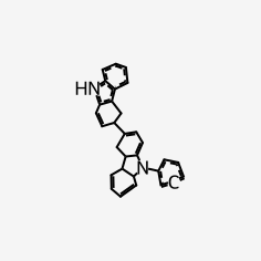 C1=CC2C3CC(C4C=Cc5[nH]c6ccccc6c5C4)=CC=C3N(c3ccccc3)C2C=C1